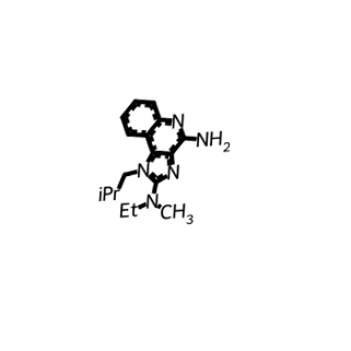 CCN(C)c1nc2c(N)nc3ccccc3c2n1CC(C)C